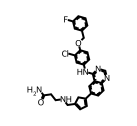 NC(=O)CCNCC1=CC=C(c2ccc3ncnc(Nc4ccc(OCc5cccc(F)c5)c(Cl)c4)c3c2)C1